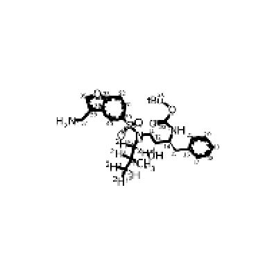 [2H]C([2H])([2H])C([2H])(C)C([2H])([2H])N(C[C@@H](O)[C@H](Cc1ccccc1)NC(=O)OC(C)(C)C)S(=O)(=O)c1ccc2occ(CN)c2c1